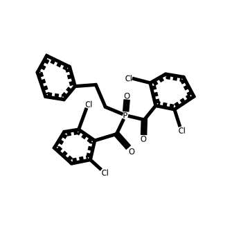 O=C(c1c(Cl)cccc1Cl)P(=O)(CCc1ccccc1)C(=O)c1c(Cl)cccc1Cl